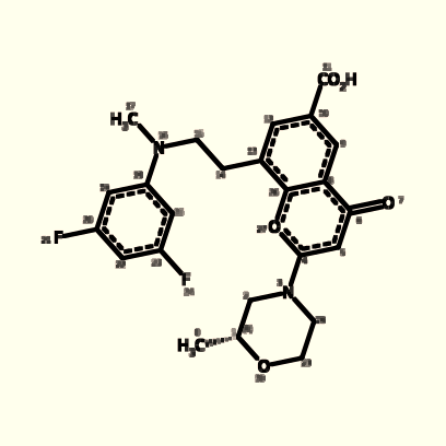 C[C@@H]1CN(c2cc(=O)c3cc(C(=O)O)cc(CCN(C)c4cc(F)cc(F)c4)c3o2)CCO1